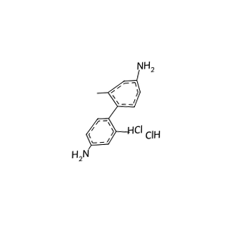 Cc1cc(N)ccc1-c1ccc(N)cc1C.Cl.Cl